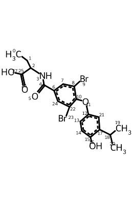 CCC(NC(=O)c1cc(Br)c(Oc2ccc(O)c(C(C)C)c2)c(Br)c1)C(=O)O